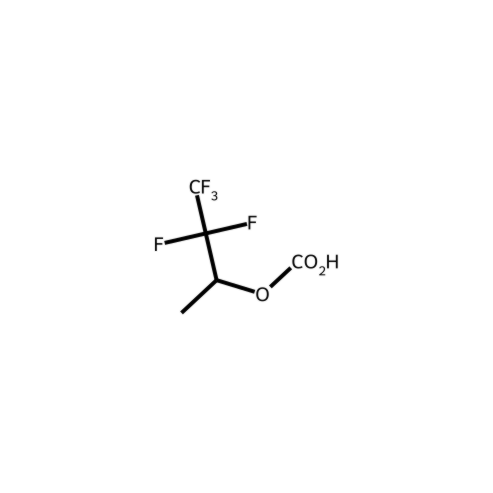 CC(OC(=O)O)C(F)(F)C(F)(F)F